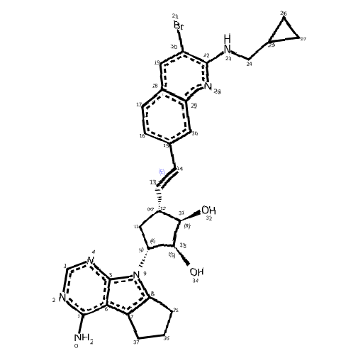 Nc1ncnc2c1c1c(n2[C@@H]2C[C@H](/C=C/c3ccc4cc(Br)c(NCC5CC5)nc4c3)[C@@H](O)[C@H]2O)CCC1